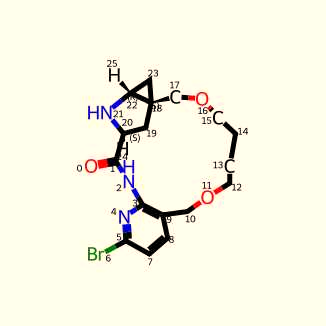 O=C1Nc2nc(Br)ccc2COCCCCOC[C@@]23C[C@@H]1N[C@@H]2C3